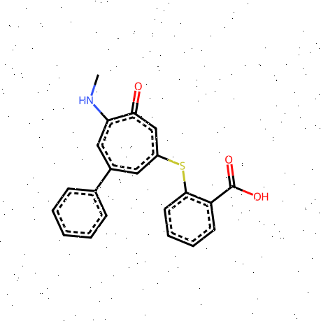 CNc1cc(-c2ccccc2)cc(Sc2ccccc2C(=O)O)cc1=O